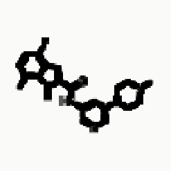 Cc1ccc(F)c2cc(C(=O)Nc3cncc(N4CCN(C)CC4)c3)[nH]c12